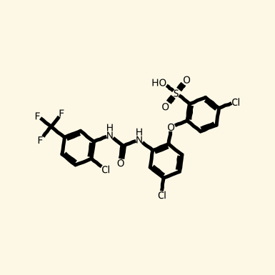 O=C(Nc1cc(C(F)(F)F)ccc1Cl)Nc1cc(Cl)ccc1Oc1ccc(Cl)cc1S(=O)(=O)O